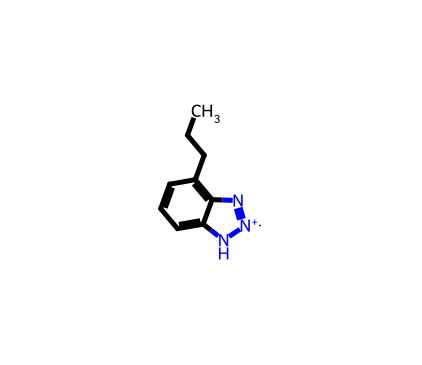 CCCc1cccc2c1N=[N+]N2